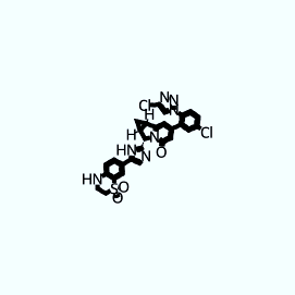 O=c1cc(-c2cc(Cl)ccc2-n2cc(Cl)nn2)cc2n1[C@H](c1ncc(-c3ccc4c(c3)S(=O)(=O)CCN4)[nH]1)[C@H]1C[C@@H]21